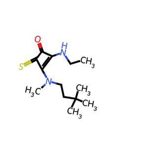 CCNc1c(N(C)CCC(C)(C)C)c(=S)c1=O